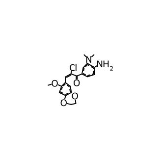 COc1cc2c(cc1/C=C(/Cl)C(=O)c1ccc(N)c(N(C)C)c1)OCCO2